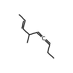 CC=CC(C)C=C=CCC